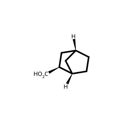 O=C(O)[C@H]1C[C@@H]2CC[C@H]1C2